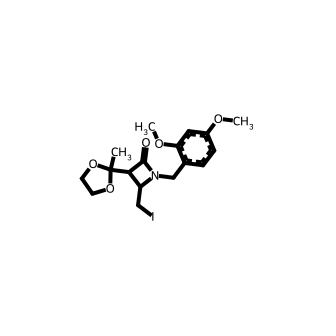 COc1ccc(CN2C(=O)C(C3(C)OCCO3)C2CI)c(OC)c1